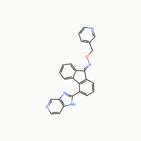 c1cncc(CO/N=C2\c3ccccc3-c3c2cccc3-c2nc3cnccc3[nH]2)c1